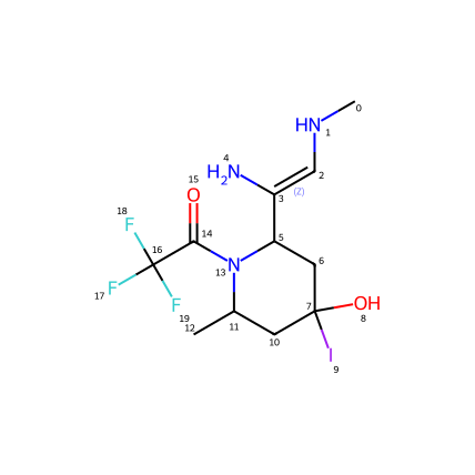 CN/C=C(\N)C1CC(O)(I)CC(C)N1C(=O)C(F)(F)F